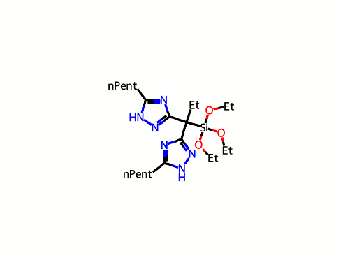 [CH2]CC(c1n[nH]c(CCCCC)n1)(c1n[nH]c(CCCCC)n1)[Si](OCC)(OCC)OCC